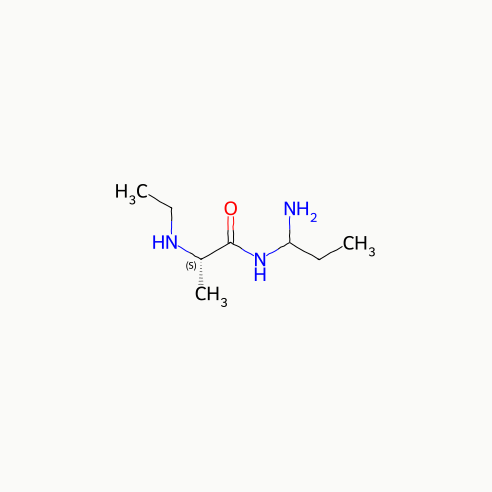 CCN[C@@H](C)C(=O)NC(N)CC